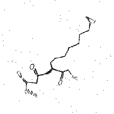 COC(=O)CC(=O)C(CCCCCCCl)C(=O)CC(C)=O